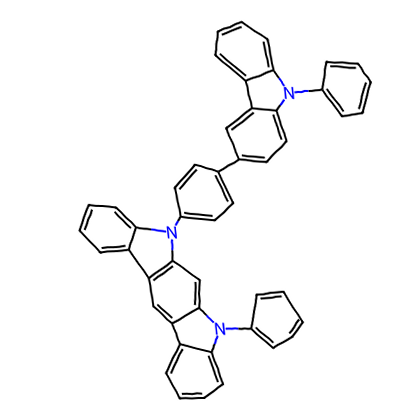 c1ccc(-n2c3ccccc3c3cc(-c4ccc(-n5c6ccccc6c6cc7c8ccccc8n(-c8ccccc8)c7cc65)cc4)ccc32)cc1